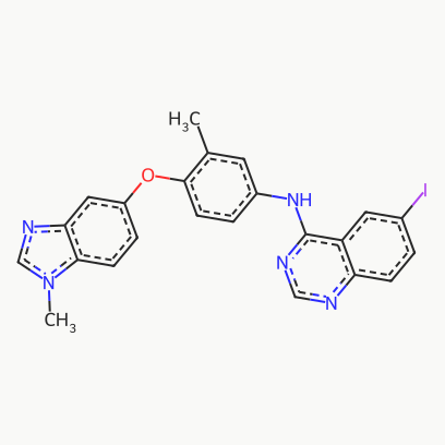 Cc1cc(Nc2ncnc3ccc(I)cc23)ccc1Oc1ccc2c(c1)ncn2C